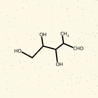 CC(C=O)C(O)C(O)CO